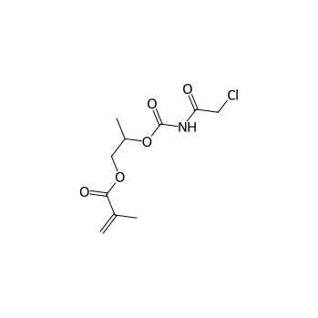 C=C(C)C(=O)OCC(C)OC(=O)NC(=O)CCl